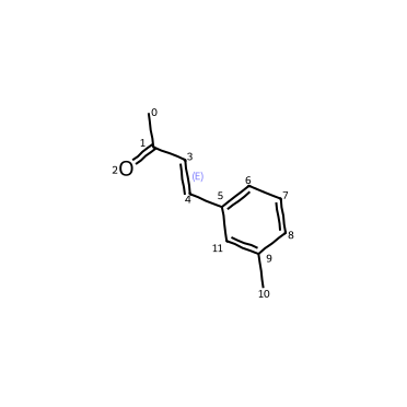 CC(=O)/C=C/c1cccc(C)c1